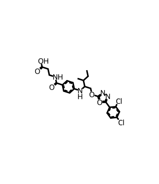 CCC(C)C(COc1nnc(-c2ccc(Cl)cc2Cl)o1)Nc1ccc(C(=O)NCCC(=O)O)cc1